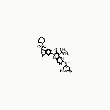 CC(C)n1c(=O)c(-c2ccc(NS(=O)(=O)N3CCCCC3)c(F)c2)nc2cnc(N[C@@H]3CNC[C@@H](F)C3)nc21